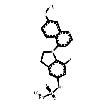 CNS(=O)(=O)Nc1cc(F)c2c(c1)CCN2c1ccnc2cc(OC)ccc12